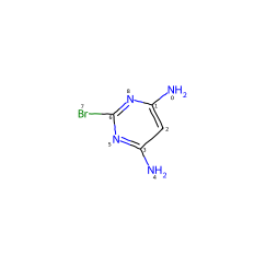 Nc1cc(N)nc(Br)n1